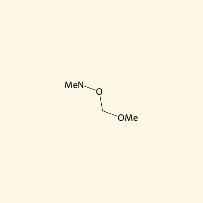 CNOCOC